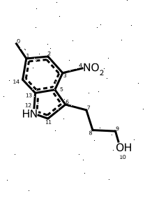 Cc1cc([N+](=O)[O-])c2c(CCCO)c[nH]c2c1